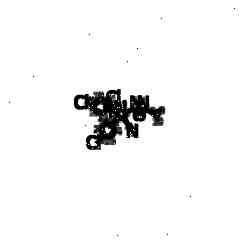 N#Cc1c(-c2nnc(C3CC3)o2)nn(-c2ccc(Cl)cc2Cl)c1-c1ccc(Cl)cc1